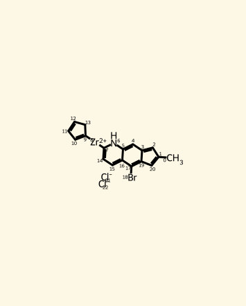 Cc1cc2cc3[nH][c]([Zr+2][C]4=CC=CC4)ccc3c(Br)c2c1.[Cl-].[Cl-]